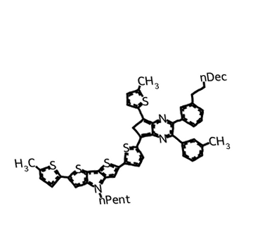 CCCCCCCCCCCCc1cccc(-c2nc3c(nc2-c2cccc(C)c2)=C(c2ccc(-c4cc5c(s4)c4sc(-c6ccc(C)s6)cc4n5CCCCC)s2)CC=3c2ccc(C)s2)c1